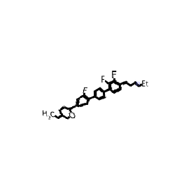 C=CC1CCC(c2ccc(-c3ccc(-c4ccc(CC/C=C/CC)c(F)c4F)cc3)c(F)c2)OC1